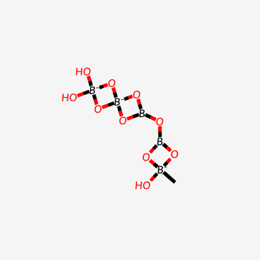 C[B-]1(O)OB(OB2O[B-]3(O2)O[B-](O)(O)O3)O1